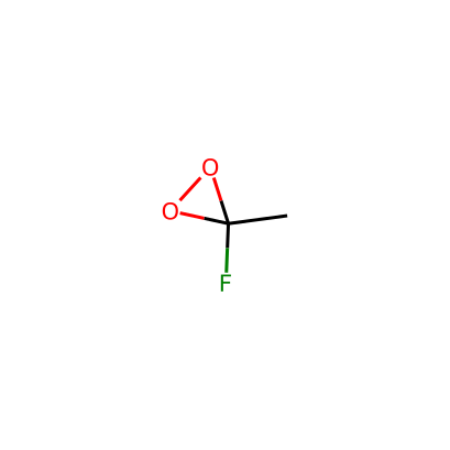 CC1(F)OO1